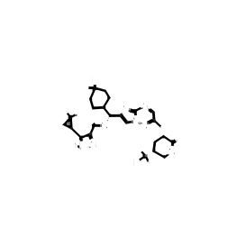 O=C(N[C@H](c1cn2nc(C[C@H]3C[C@@H](C(F)(F)F)CNC3=O)cnc2n1)C1CCC(F)(F)CC1)c1nonc1C1CC1(F)F